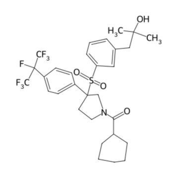 CC(C)(O)Cc1cccc(S(=O)(=O)C2(c3ccc(C(F)(C(F)(F)F)C(F)(F)F)cc3)CCN(C(=O)C3CCCCC3)C2)c1